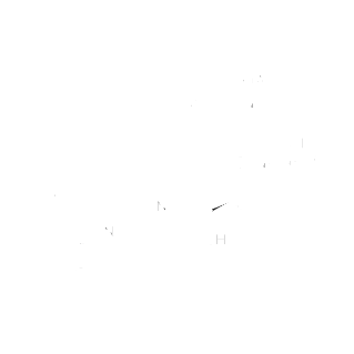 CC(=O)O[C@@H]1[CH][C@@]2(O)[C@H](C)CC[C@@H](C(C)CN3CCN(C(=O)c4cccs4)CC3)[C@H]2C=C1C